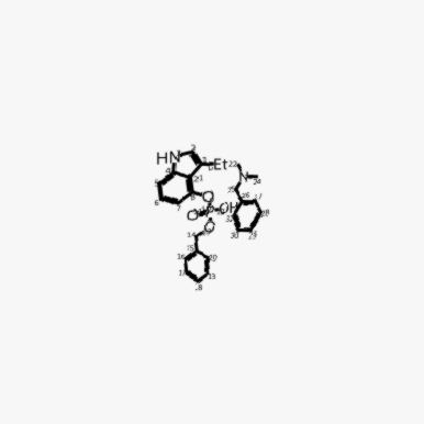 CCc1c[nH]c2cccc(OP(=O)(O)OCc3ccccc3)c12.CN(C)Cc1ccccc1